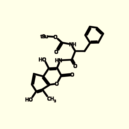 Cc1c(O)ccc2c(O)c(NC(=O)C(Cc3ccccc3)NC(=O)OC(C)(C)C)c(=O)oc12